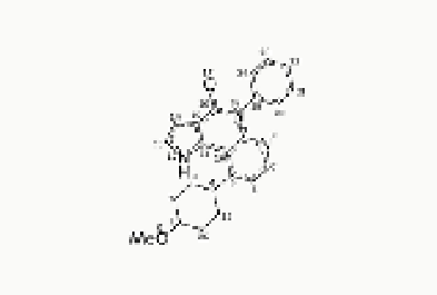 COC1CCC(c2ccnc3c2c2[nH]ccc2c(=O)n3-c2ccccc2)CC1